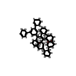 c1ccc(-c2cc(-c3ccccc3)cc(N(c3ccccc3)c3c(-c4cccc(-c5ccccc5-c5ccccc5)c4)c4ccccc4c4ccccc34)c2)cc1